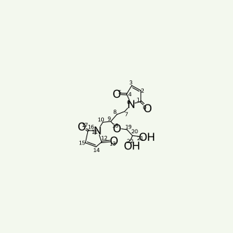 O=C1C=CC(=O)N1CCC(CN1C(=O)C=CC1=O)OCC(O)O